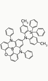 Cc1ccc2c(c1)[Si](c1ccccc1)(c1ccccc1)c1cc(C)ccc1N2c1cc2c3c(c1)N(c1ccccc1)c1cccc4c1B3c1c(cccc1N2c1ccccc1)O4